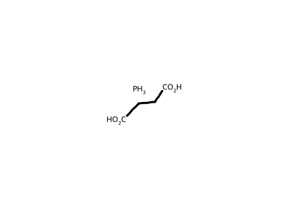 O=C(O)CCC(=O)O.P